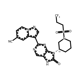 N#Cc1ccn2ncc(-c3ncc4[nH]c(=O)n([C@H]5CCCN(S(=O)(=O)CCC(F)(F)F)C5)c4n3)c2c1